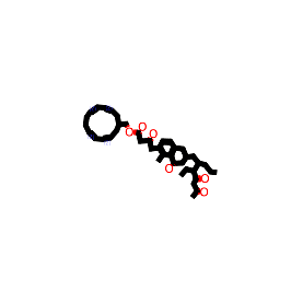 CCCC(CC1CC(=O)c2c(ccc(CC(=O)CC(=O)OCC3C/C=C\C=C/CC/C=C\C=C/C3)c2C)C1)C(CC)C(=O)CC(C)=O